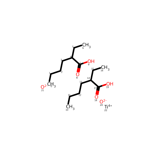 CCCCC(CC)C(=O)O.CCCCC(CC)C(=O)O.[O-2].[O-2].[Ti+4]